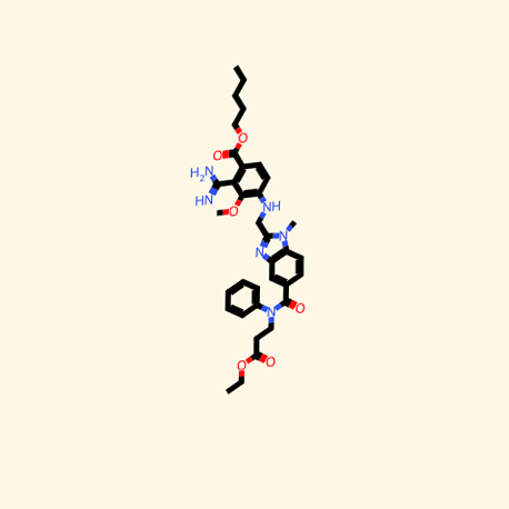 CCCCCOC(=O)c1ccc(NCc2nc3cc(C(=O)N(CCC(=O)OCC)c4ccccc4)ccc3n2C)c(OC)c1C(=N)N